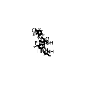 Cc1cc(Nc2cc([C@@H](C)F)c(F)c(C[C@@]3(C(=O)O)CCN(Cc4cccc(Cl)c4F)[C@H](C)C3)n2)n[nH]1